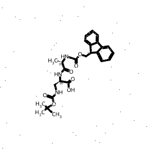 C[C@H](NC(=O)OCC1c2ccccc2-c2ccccc21)C(=O)N[C@H](CNC(=O)OC(C)(C)C)C(=O)O